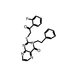 O=C(CSc1nc2nccnc2c(=O)n1CCc1ccccc1)c1ccccc1F